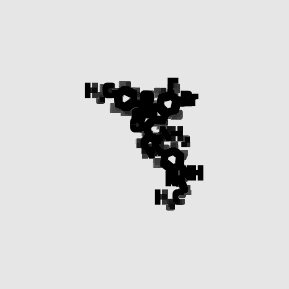 CCc1nc2c([nH]1)=CCC(n1ncc(C(=O)c3cc4cc(Br)c(F)cc4n3S(=O)(=O)c3ccc(C)cc3)c1N)C=2